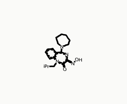 CC(C)Cn1c(=O)c(=NO)nc(N2CCCCCC2)c2ccccc21